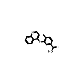 Cc1ccc(C(=O)O)cc1Oc1ccnc2ccccc12